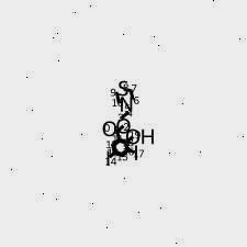 O=C(OCCN1CCSCC1)c1cc(I)cc(I)c1O